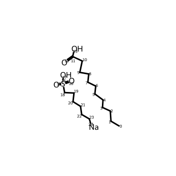 CCCCCCCCCCCC(=O)O.O=S(=O)(O)CCCCC[CH2][Na]